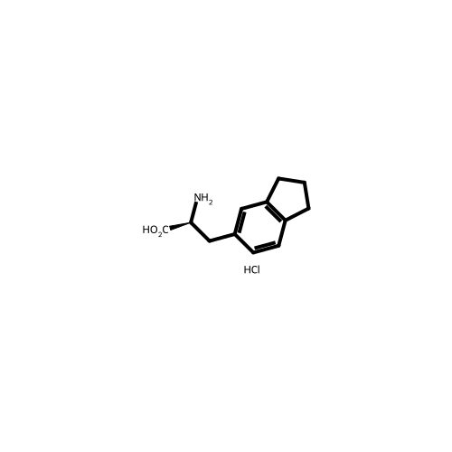 Cl.N[C@@H](Cc1ccc2c(c1)CCC2)C(=O)O